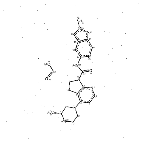 C[C@@H]1CN(c2ccnc3c2CCN3C(=O)Nc2cc3cn(C)nc3cn2)CCN1.O=CO